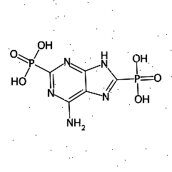 Nc1nc(P(=O)(O)O)nc2[nH]c(P(=O)(O)O)nc12